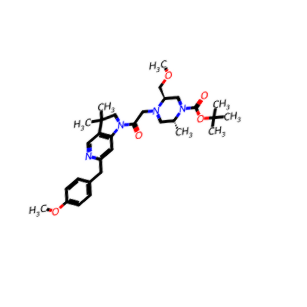 COC[C@H]1CN(C(=O)OC(C)(C)C)[C@H](C)CN1CC(=O)N1CC(C)(C)c2cnc(Cc3ccc(OC)cc3)cc21